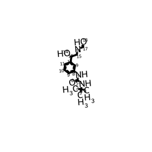 CC(C)(C)NC(=O)Nc1cccc(C(O)CNC=O)c1